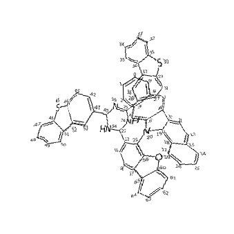 c1ccc2cc3c(cc2c1)c1ccc2ccccc2c1n3-c1c(C2NC(c3ccc4sc5ccccc5c4c3)=NC(c3ccc4sc5ccccc5c4c3)N2)ccc2c1oc1ccccc12